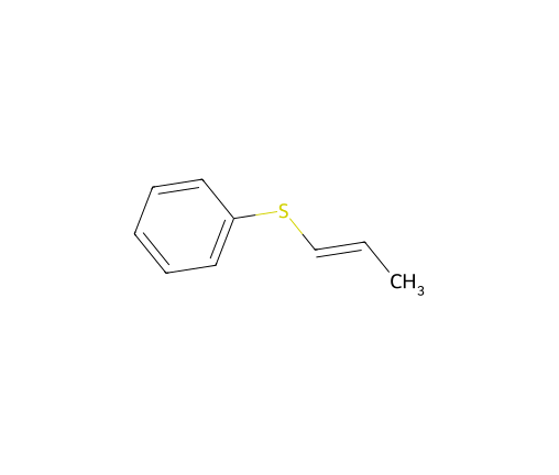 C/C=C/Sc1ccccc1